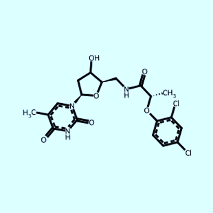 Cc1cn([C@H]2CC(O)[C@@H](CNC(=O)[C@H](C)Oc3ccc(Cl)cc3Cl)O2)c(=O)[nH]c1=O